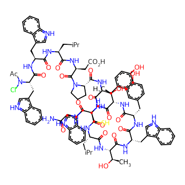 CC(=O)N(Cl)[C@@H](Cc1c[nH]c2ccccc12)C(=O)N[C@@H](Cc1c[nH]c2ccccc12)C(=O)N[C@@H](CC(C)C)C(=O)N[C@@H](CC(=O)O)C(=O)N1CCC[C@H]1C(=O)N[C@@H](Cc1ccc(O)cc1)C(=O)N[C@@H](Cc1c[nH]c2ccccc12)C(=O)N[C@@H](CC(C)C)C(=O)N[C@H](C(=O)N[C@@H](Cc1c[nH]c2ccccc12)C(=O)N[C@@H](Cc1ccc(O)cc1)C(=O)N[C@H](C(=O)N[C@@H](CS)C(=O)NCC(N)=O)[C@@H](C)O)[C@@H](C)O